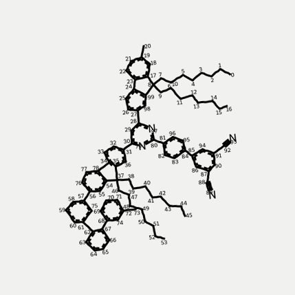 CCCCCCCCC1(CCCCCCCC)c2cc(C)ccc2-c2ccc(-c3cc(-c4ccc5c(c4)C(CCCCCCCC)(CCCCCCCC)c4cc(-c6cccc(-c7ccccc7-c7cccc(C)c7)c6)ccc4-5)nc(-c4ccc(-c5cc(C#N)cc(C#N)c5)cc4)n3)cc21